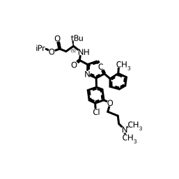 Cc1ccccc1-c1ccc(C(=O)N[C@@H](CC(=O)OC(C)C)C(C)(C)C)nc1-c1ccc(Cl)c(OCCCN(C)C)c1